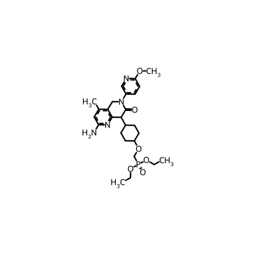 CCOP(=O)(COC1CCC(C2C(=O)N(c3ccc(OC)nc3)Cc3c(C)cc(N)nc32)CC1)OCC